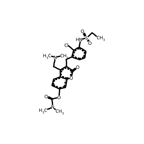 CCS(=O)(=O)Nc1cccc(Cc2c(CN(C)C)c3ccc(OC(=O)N(C)C)cc3oc2=O)c1Cl